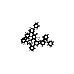 CC1NC(C2=CCCc3c2sc2c3C=CC3C2C2CCCCC2N3C2=CC=CCC2)=C(C2N=C(c3ccccc3)N=C(C3=CCCC=C3)N2)C=C1C1=C[C@@H](C2=CCCC=C2)CC=C1C1=CCC(C)(C)C=C1